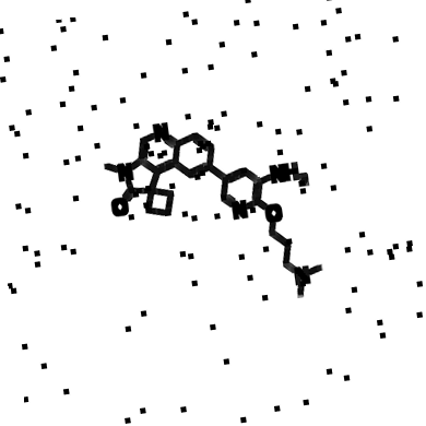 CN(C)CCCOc1ncc(-c2ccc3ncc4c(c3c2)C2(CCC2)C(=O)N4C)cc1N